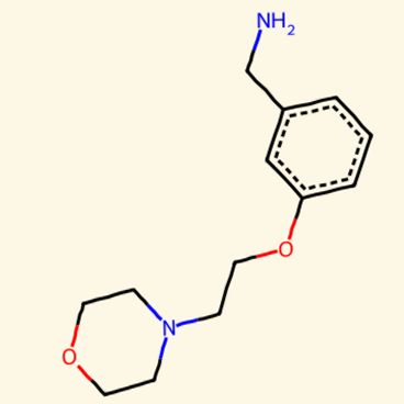 NCc1cccc(OCCN2CCOCC2)c1